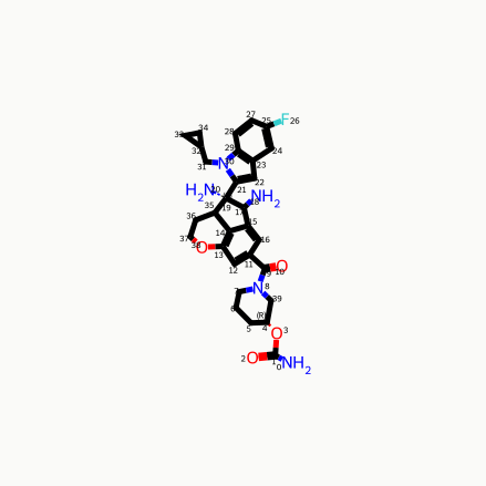 NC(=O)O[C@@H]1CCCN(C(=O)c2cc3c4c(c2)C(N)[C@](N)(c2cc5cc(F)ccc5n2CC2CC2)C4CCO3)C1